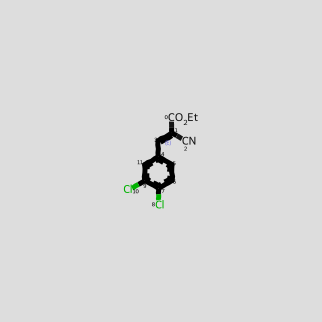 CCOC(=O)/C(C#N)=C/c1ccc(Cl)c(Cl)c1